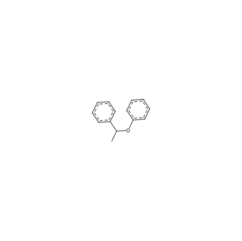 CC(Oc1cc[c]cc1)c1ccccc1